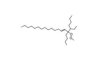 CCCCCCCCCCCCC=CC(CCCC)(OOC)C(CC)CCCC